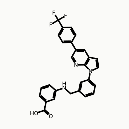 O=C(O)c1cccc(NCc2cccc(-n3ccc4cc(-c5ccc(C(F)(F)F)cc5)cnc43)c2)c1